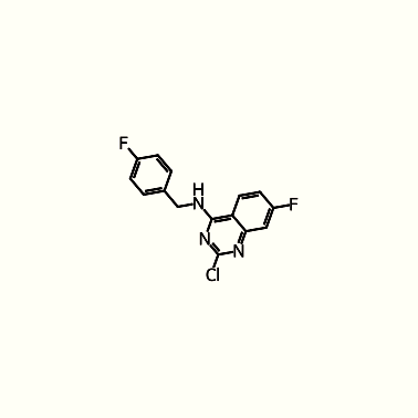 Fc1ccc(CNc2nc(Cl)nc3cc(F)ccc23)cc1